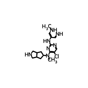 CN/C=C(\C=N)Nc1ncc(Cl)c(N(C)C2CC3CNCC3C2)n1